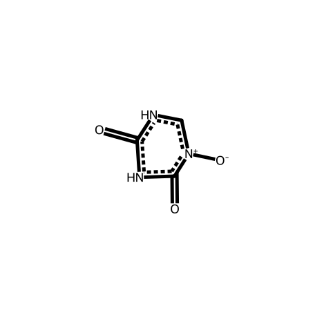 O=c1[nH]c[n+]([O-])c(=O)[nH]1